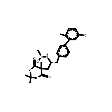 CB(O)N[C@H](Cc1ccc(-c2cc(Cl)ccc2F)cc1)CC1(C)C(=O)OC(C)(C)OC1=O